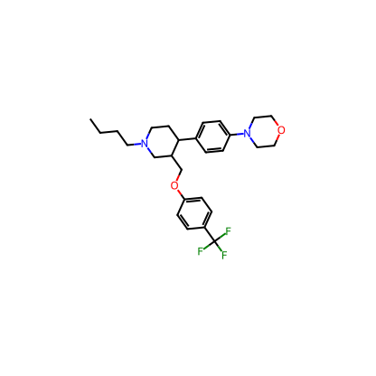 CCCCN1CCC(c2ccc(N3CCOCC3)cc2)C(COc2ccc(C(F)(F)F)cc2)C1